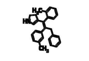 Cc1cccc(/C(Cc2ccccc2)=C(\C2=CNCC2)c2ccccc2C)c1